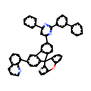 c1ccc(-c2cccc(-c3nc(-c4ccccc4)cc(-c4ccc5c(c4)-c4cc(-c6cccc7cccnc67)ccc4C54c5ccccc5Oc5ccccc54)n3)c2)cc1